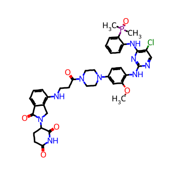 COc1cc(N2CCN(C(=O)CCNc3cccc4c3CN(C3CCC(=O)NC3=O)C4=O)CC2)ccc1Nc1ncc(Cl)c(Nc2ccccc2P(C)(C)=O)n1